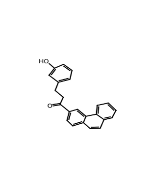 O=C(CCc1cccc(O)c1)c1ccc2ccc3ccccc3c2c1